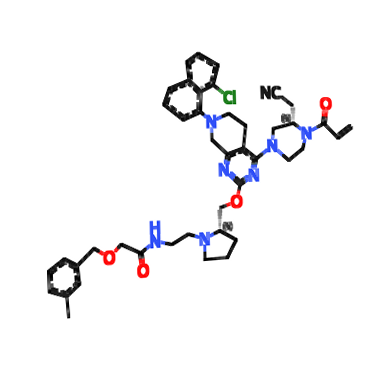 C=CC(=O)N1CCN(c2nc(OC[C@@H]3CCCN3CCNC(=O)COCc3cccc(C)c3)nc3c2CCN(c2cccc4cccc(Cl)c24)C3)C[C@@H]1CC#N